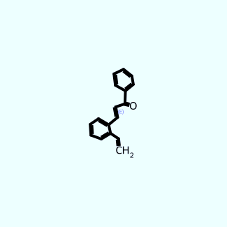 C=Cc1ccccc1/C=C/C(=O)c1ccccc1